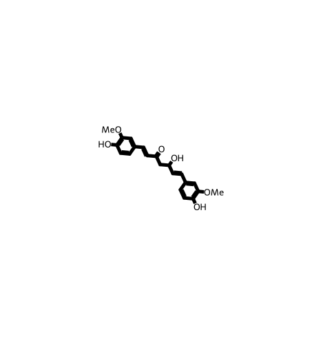 COc1cc(C=CC(=O)CC(O)C=Cc2ccc(O)c(OC)c2)ccc1O